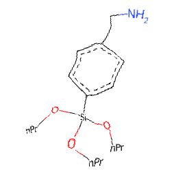 CCCO[Si](OCCC)(OCCC)c1ccc(CN)cc1